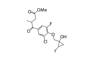 COC(=O)CC(C)C(=O)c1cc(F)c(OCC2(O)CC2I)c(Cl)c1